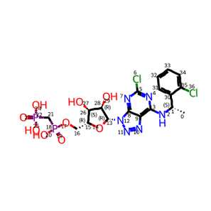 C[C@H](Nc1nc(Cl)nc2c1nnn2[C@@H]1O[C@H](COP(=O)(O)CP(=O)(O)O)[C@@H](O)[C@H]1O)c1ccccc1Cl